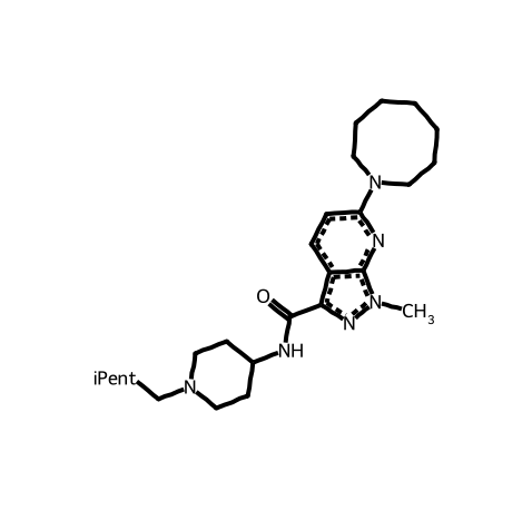 CCCC(C)CN1CCC(NC(=O)c2nn(C)c3nc(N4CCCCCCC4)ccc23)CC1